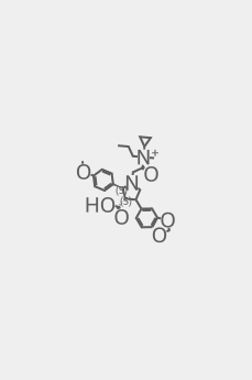 CCC[N+](C)(C(=O)CN1CC(c2ccc3c(c2)OCO3)[C@H](C(=O)O)[C@H]1c1ccc(OC)cc1)C1CC1